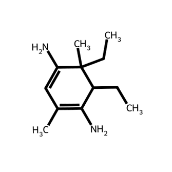 CCC1C(N)=C(C)C=C(N)C1(C)CC